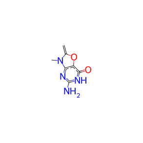 C=C1Oc2c(nc(N)[nH]c2=O)N1C